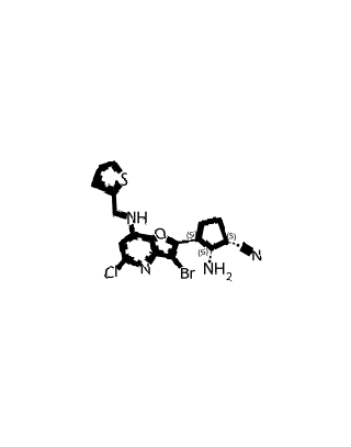 N#C[C@H]1CC[C@H](c2oc3c(NCc4cccs4)cc(Cl)nc3c2Br)[C@H]1N